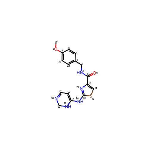 COc1ccc(CNC(=O)c2csc(NC3=CC=NCN3)n2)cc1